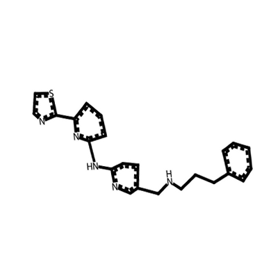 c1ccc(CCCNCc2ccc(Nc3cccc(-c4nccs4)n3)nc2)cc1